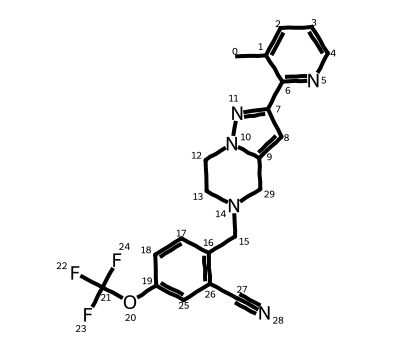 Cc1cccnc1-c1cc2n(n1)CCN(Cc1ccc(OC(F)(F)F)cc1C#N)C2